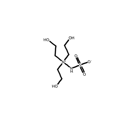 O=S(=O)([O-])N[N+](CCO)(CCO)CCO